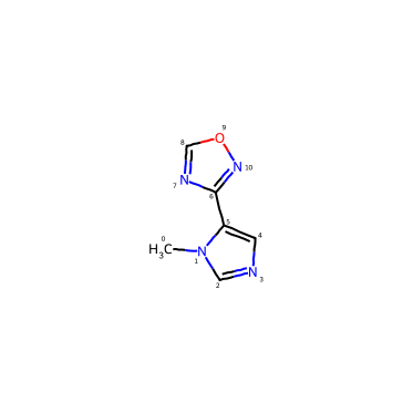 Cn1cncc1-c1ncon1